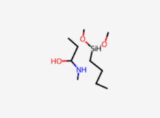 CCC(O)NC.CCCC[SiH](OC)OC